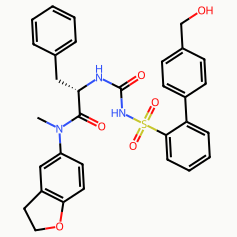 CN(C(=O)[C@H](Cc1ccccc1)NC(=O)NS(=O)(=O)c1ccccc1-c1ccc(CO)cc1)c1ccc2c(c1)CCO2